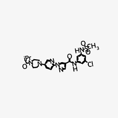 CC(C)C(=O)N1CCN(c2ccc(-n3cc(C(=O)Nc4cc(Cl)cc(NS(C)(=O)=O)c4)cn3)nc2)CC1